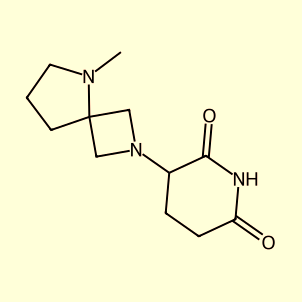 CN1CCCC12CN(C1CCC(=O)NC1=O)C2